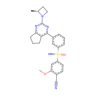 COc1cc(S(=N)(=O)c2cccc(-c3nc(N4CC[C@@H]4C)nc4c3CCC4)c2)ccc1C#N